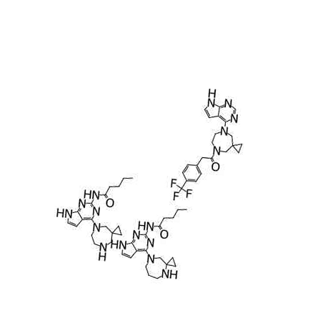 CCCCC(=O)Nc1nc(N2CCCNC3(CC3)C2)c2cc[nH]c2n1.CCCCC(=O)Nc1nc(N2CCNCC3(CC3)C2)c2cc[nH]c2n1.O=C(Cc1ccc(C(F)(F)F)cc1)N1CCN(c2ncnc3[nH]ccc23)CC2(CC2)C1